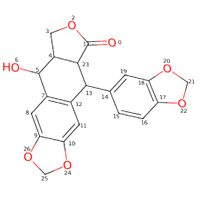 O=C1OCC2C(O)c3cc4c(cc3C(c3ccc5c(c3)OCO5)C12)OCO4